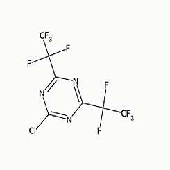 FC(F)(F)C(F)(F)c1nc(Cl)nc(C(F)(F)C(F)(F)F)n1